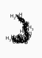 Cn1c(-c2cn(-c3ccc4[nH]c(CCN)cc4n3)nc2C(F)(F)F)cnc1C(=O)Nc1ccc(C(=O)N2CCN(C(=O)C3CC[N+](CC(=O)OC(C)(C)C)(CC4CN(C(=O)OC(C)(C)C)C4)CC3)CC2)c(Cl)c1